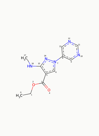 CCOC(=O)c1cn(-c2cncnc2)nc1NC